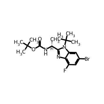 C[C@@H](NC(=O)OC(C)(C)C)c1nc2c(F)cc(Br)cc2n1C(C)(C)C